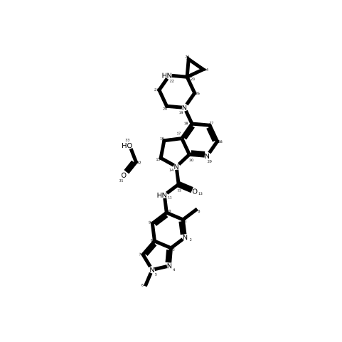 Cc1nc2nn(C)cc2cc1NC(=O)N1CCc2c(N3CCNC4(CC4)C3)ccnc21.O=CO